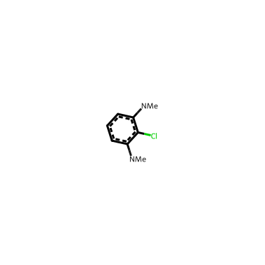 CNc1cccc(NC)c1Cl